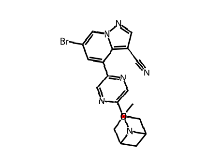 CON1C2CC1CN(c1cnc(-c3cc(Br)cn4ncc(C#N)c34)cn1)C2